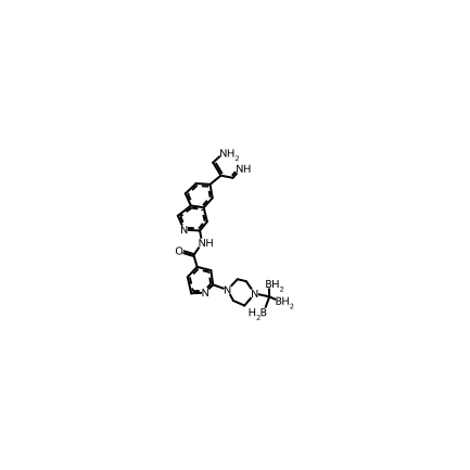 BC(B)(B)N1CCN(c2cc(C(=O)Nc3cc4cc(/C(C=N)=C/N)ccc4cn3)ccn2)CC1